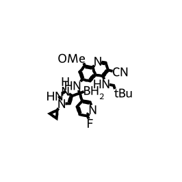 BC(Nc1cc(OC)c2ncc(C#N)c(NCC(C)(C)C)c2c1)(C1=CN(C2CC2)NN1)c1ccc(F)nc1